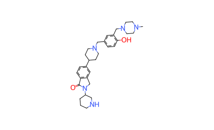 CN1CCN(Cc2cc(CN3CCC(c4ccc5c(c4)CN(C4CCCNC4)C5=O)CC3)ccc2O)CC1